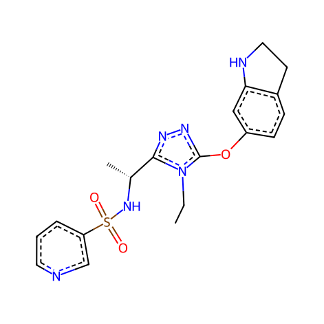 CCn1c(Oc2ccc3c(c2)NCC3)nnc1[C@@H](C)NS(=O)(=O)c1cccnc1